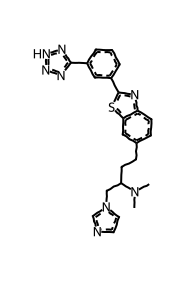 CN(C)C(CCc1ccc2nc(-c3cccc(-c4nn[nH]n4)c3)sc2c1)Cn1ccnc1